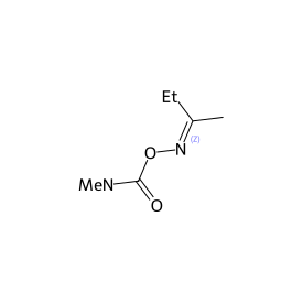 CC/C(C)=N\OC(=O)NC